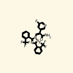 NC(=O)C(=Cn1nc(-c2ccccc2C(F)(F)F)nc1-c1ccccc1C(F)(F)F)c1cncc(F)c1